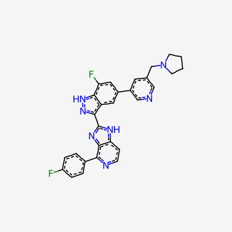 Fc1ccc(-c2nccc3[nH]c(-c4n[nH]c5c(F)cc(-c6cncc(CN7CCCC7)c6)cc45)nc23)cc1